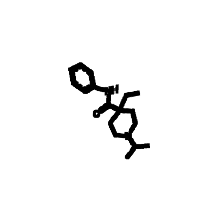 CCC1(C(=O)Nc2ccccc2)CCN(C(C)C)CC1